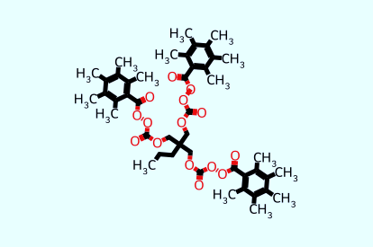 CCCC(COC(=O)OOC(=O)c1c(C)c(C)c(C)c(C)c1C)(COC(=O)OOC(=O)c1c(C)c(C)c(C)c(C)c1C)COC(=O)OOC(=O)c1c(C)c(C)c(C)c(C)c1C